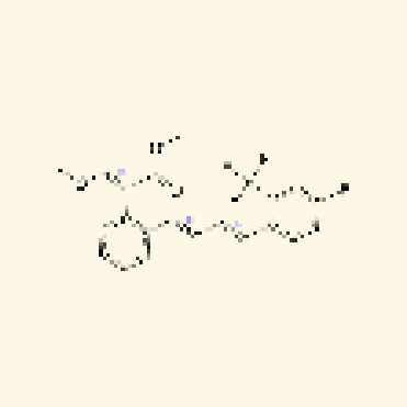 CO/C=C(/C(=O)OC)c1ccccc1/C=C/C=C/c1ccc(F)cc1C(F)(F)F